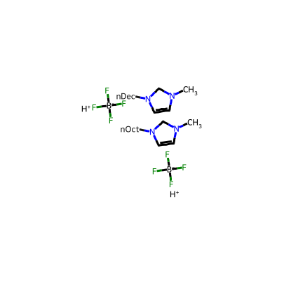 CCCCCCCCCCN1C=CN(C)C1.CCCCCCCCN1C=CN(C)C1.F[B-](F)(F)F.F[B-](F)(F)F.[H+].[H+]